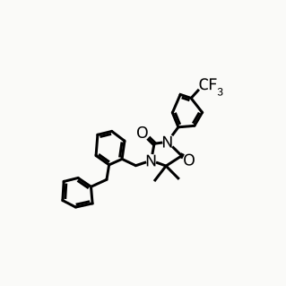 CC1(C)C(=O)N(c2ccc(C(F)(F)F)cc2)C(=O)N1Cc1ccccc1Cc1ccccc1